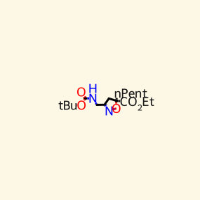 CCCCCC1(C(=O)OCC)CC(CNC(=O)OC(C)(C)C)=NO1